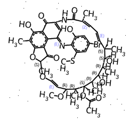 CO[C@H]1/C=C/O[C@@]2(C)Oc3c(C)c(O)c4c(c3C2=O)/C(=N/c2c(O)cc(Br)cc2SC)C=C(NC(=O)/C(C)=C\C=C\[C@H](C)[C@H](O)[C@@H](C)[C@@H](O)[C@@H](C)[C@H](OC(C)=O)[C@@H]1C)C4=O